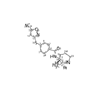 C[C@H]1[C@H](NC(=O)c2ccc(Sc3cc(C#N)on3)cc2)C2CCN1CC2